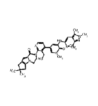 C=N/C(=C\c1c(C)nn(C)c1C)Nc1cc(-c2ccnc(N3CCn4c(cc5c4CC(C)(C)C5)C3=O)c2CO)cn(C)c1=O